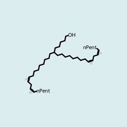 CCCCC/C=C\C/C=C\CCCCCCCCC(CCCCCO)CCCCCCCC/C=C\C/C=C\CCCCC